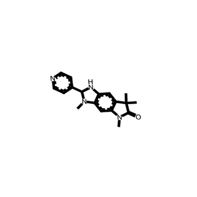 CN1C(=O)C(C)(C)c2cc3c(cc21)N(C)C(c1ccncc1)N3